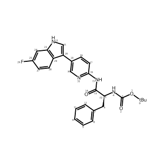 CC(C)(C)OC(=O)N[C@@H](Cc1ccccc1)C(=O)Nc1ccc(-c2c[nH]c3cc(F)ccc23)cn1